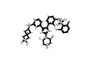 Cc1cccc(F)c1S(=O)(=O)Nc1cccc(-c2nc(N3[C@@H](C)CNC[C@@H]3C)sc2-c2ccnc(NC3CC4(C3)CS(=O)(=O)C4)n2)c1F